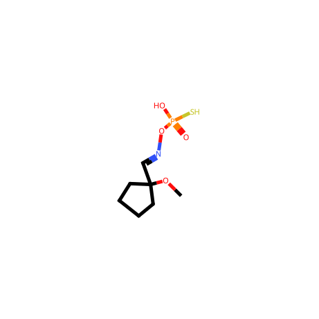 COC1(/C=N/OP(=O)(O)S)CCCC1